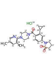 Cc1cnc(N2CCN(C(=O)c3ccc(N4CCCS4(=O)=O)cc3C3CC3)CC2)c(C)c1.Cl